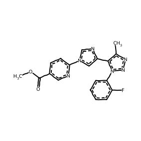 COC(=O)c1ccc(-n2cnc(-c3c(C)nnn3-c3ccccc3F)c2)nc1